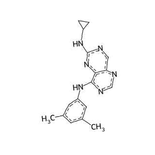 Cc1cc(C)cc(Nc2ncnc3cnc(NC4CC4)nc23)c1